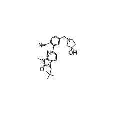 Cn1c(=O)n(CC(C)(C)C)c2ccc(-c3cc(CN4CCC(C)(O)C4)ccc3C#N)nc21